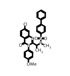 COc1ccc(-n2c(C(C)N(C)S(=O)(=O)c3ccc(-c4ccccc4)cc3)nc3cc(Cl)ccc3c2=O)cc1